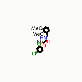 CCC(Oc1ccc(Cl)cc1Cl)C(=O)NCc1cccc(OC)c1OC